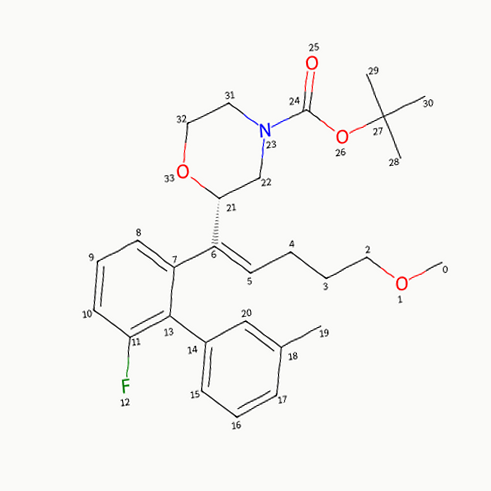 COCCCC=C(c1cccc(F)c1-c1cccc(C)c1)[C@H]1CN(C(=O)OC(C)(C)C)CCO1